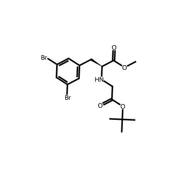 COC(=O)[C@H](Cc1cc(Br)cc(Br)c1)NCC(=O)OC(C)(C)C